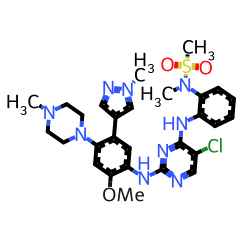 COc1cc(N2CCN(C)CC2)c(-c2cnn(C)c2)cc1Nc1ncc(Cl)c(Nc2ccccc2N(C)S(C)(=O)=O)n1